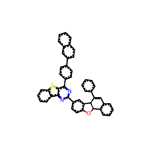 C1=C(c2ccccc2)C2c3cc(-c4nc(-c5ccc(-c6ccc7ccccc7c6)cc5)c5sc6ccccc6c5n4)ccc3OC2c2ccccc21